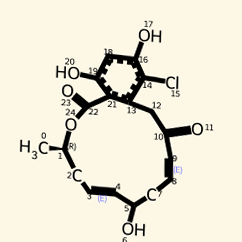 C[C@@H]1C/C=C/C(O)C/C=C/C(=O)Cc2c(Cl)c(O)cc(O)c2C(=O)O1